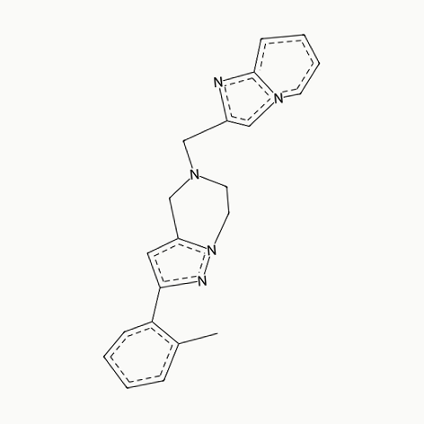 Cc1ccccc1-c1cc2n(n1)CCN(Cc1cn3ccccc3n1)C2